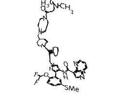 CSc1ccc(OC(F)F)c(-c2nn(CC(=O)N3CCC(CN4CCN(C(=O)CN(C)C)CC4)CC3)cc2NC(=O)c2cnn3cccnc23)c1